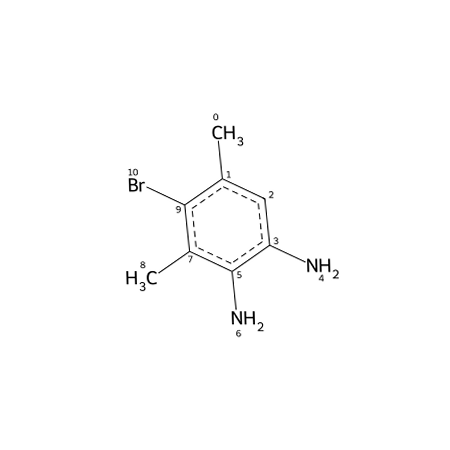 Cc1cc(N)c(N)c(C)c1Br